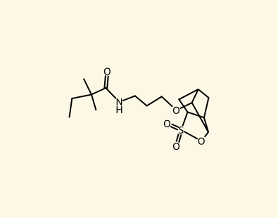 CCC(C)(C)C(=O)NCCCOC1C2CC3C1OS(=O)(=O)C3C2